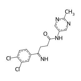 Cc1ncc(NC(=O)CCC(=N)c2ccc(Cl)c(Cl)c2)cn1